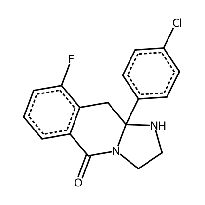 O=C1c2cccc(F)c2CC2(c3ccc(Cl)cc3)NCCN12